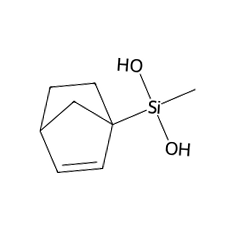 C[Si](O)(O)C12C=CC(CC1)C2